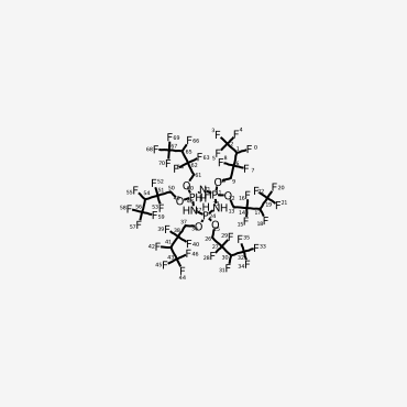 FC(C(F)(F)F)C(F)(F)CO[PH]1(OCC(F)(F)C(F)C(F)(F)F)N[PH](OCC(F)(F)C(F)C(F)(F)F)(OCC(F)(F)C(F)C(F)(F)F)N[PH](OCC(F)(F)C(F)C(F)(F)F)(OCC(F)(F)C(F)C(F)(F)F)N1